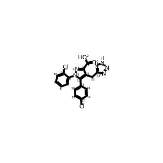 O=C(O)c1nn(-c2ccccc2Cl)c(-c2ccc(Cl)cc2)c1Cc1nn[nH]n1